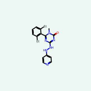 CCc1cccc(CC)c1-c1nc(NNc2ccncc2)nc(=O)n1C